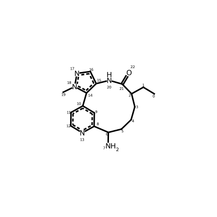 CCC1CCCC(N)c2cc(ccn2)-c2c(cnn2C)NC1=O